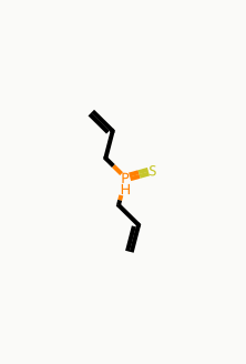 C=CC[PH](=S)CC=C